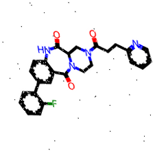 O=C1Nc2ccc(-c3ccccc3F)cc2C(=O)N2CCN(C(=O)CCc3ccccn3)CC12